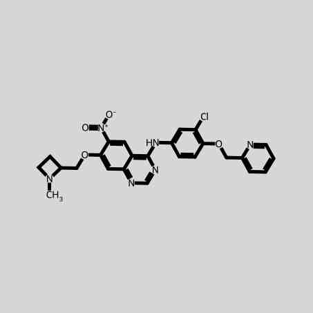 CN1CCC1COc1cc2ncnc(Nc3ccc(OCc4ccccn4)c(Cl)c3)c2cc1[N+](=O)[O-]